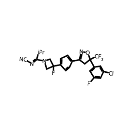 CC(C)C(=NC#N)N1CC(F)(c2ccc(C3=NOC(c4cc(F)cc(Cl)c4)(C(F)(F)F)C3)cc2)C1